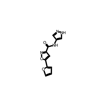 O=C(Nc1cn[nH]c1)c1cc(-c2ccco2)on1